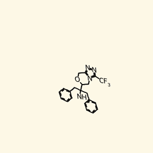 NC(Cc1ccccc1)(Cc1ccccc1)C1Cn2c(nnc2C(F)(F)F)CO1